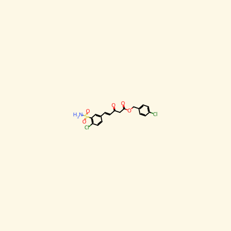 NS(=O)(=O)c1cc(C=CC(=O)CC(=O)OCc2ccc(Cl)cc2)ccc1Cl